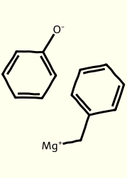 [Mg+][CH2]c1ccccc1.[O-]c1ccccc1